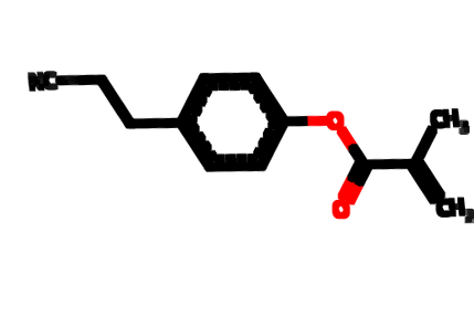 C=C(C)C(=O)Oc1ccc(CCC#N)cc1